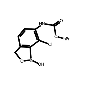 CCCOC(=O)Nc1ccc2c(c1Cl)B(O)OC2